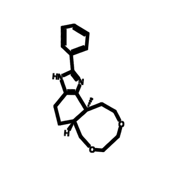 C[C@]12CCOCCOC[C@@H]1CCc1[nH]c(-c3ccccc3)nc12